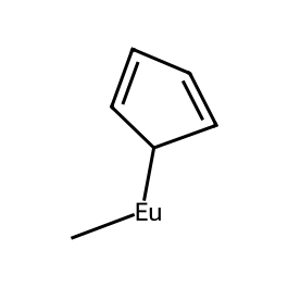 [CH3][Eu][CH]1C=CC=C1